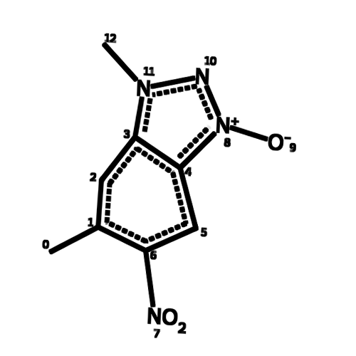 Cc1cc2c(cc1[N+](=O)[O-])[n+]([O-])nn2C